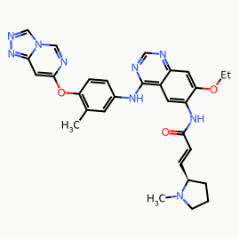 CCOc1cc2ncnc(Nc3ccc(Oc4cc5nncn5cn4)c(C)c3)c2cc1NC(=O)/C=C/[C@H]1CCCN1C